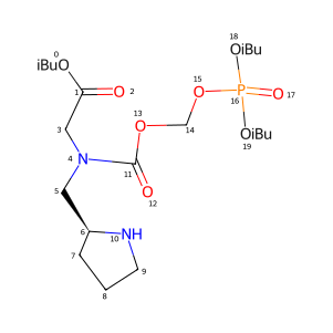 CC(C)COC(=O)CN(C[C@@H]1CCCN1)C(=O)OCOP(=O)(OCC(C)C)OCC(C)C